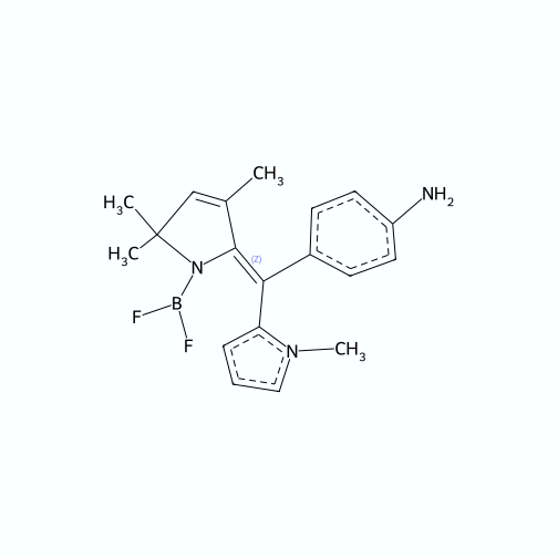 CC1=CC(C)(C)N(B(F)F)/C1=C(/c1ccc(N)cc1)c1cccn1C